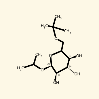 CC(C)O[C@H]1OC(COC(C)(C)C)[C@@H](O)[C@H](O)[C@H]1O